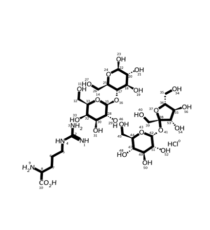 Cl.N=C(N)NCCCC(N)C(=O)O.OC[C@H]1O[C@@H](O[C@H]2[C@H](O)[C@@H](O)[C@H](O)O[C@@H]2CO)[C@H](O)[C@@H](O)[C@H]1O.OC[C@H]1O[C@@](CO)(O[C@H]2O[C@H](CO)[C@@H](O)[C@H](O)[C@H]2O)[C@@H](O)[C@@H]1O